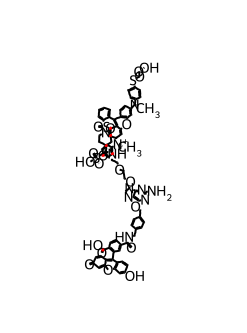 CN(c1ccc(SOOO)cc1)c1ccc2c(-c3ccccc3S(=O)(=O)N3CCC(C(=O)NCCOCCOn4cnc5c(OCc6ccc(CNC(=O)c7ccc(C(=O)O)c(-c8c9ccc(=O)cc-9oc9cc(O)ccc89)c7)cc6)nc(N)nc54)CC3)c3cc/c(=[N+](/C)c4ccc(S(=O)(=O)O)cc4)cc-3oc2c1